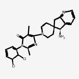 Cc1c(N2CCC3(CC2)Cc2ncccc2[C@H]3N)nc(C)n(C2=CC=CC(Cl)C2Cl)c1=O